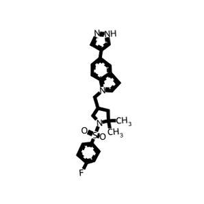 CC1(C)CC(Cn2ccc3cc(-c4cn[nH]c4)ccc32)CN1S(=O)(=O)c1ccc(F)cc1